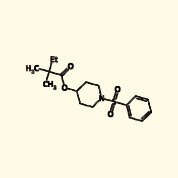 CCC(C)(C)C(=O)OC1CCN(S(=O)(=O)c2ccccc2)CC1